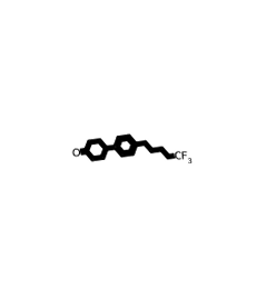 O=C1CCC(c2ccc(CCCCC(F)(F)F)cc2)CC1